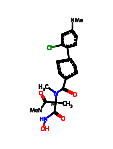 CNC(=O)[C@@](C)(C(=O)NO)N(C)C(=O)c1ccc(-c2ccc(NC)cc2Cl)cc1